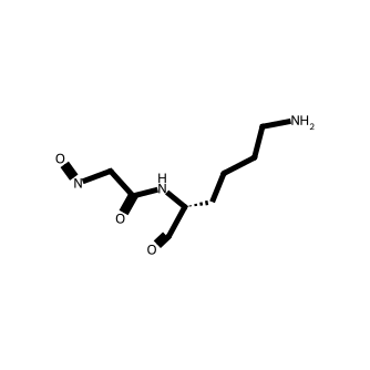 NCCCC[C@H](C=O)NC(=O)CN=O